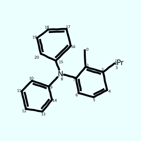 Cc1c(C(C)C)cccc1N(c1ccccc1)c1ccccc1